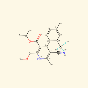 COCC1=C(C(=O)OC(C)C)C(c2ccc(C)cc2C(F)(F)F)C(C#N)=C(C)N1